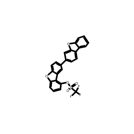 O=S(=O)(Oc1cccc2oc3ccc(-c4ccc5c(c4)oc4ccccc45)cc3c12)C(F)(F)F